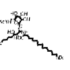 CCCCCCCCCCCCCCCCCCCCCCCC(=O)N[C@@H](CO[C@H]1O[C@H](CNC(C)=O)[C@H](O)[C@H](O)[C@H]1O)[C@H](O)[C@H](O)CCCCCCCCCCCCCC